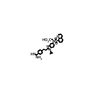 N=C(N)c1ccc(CCc2nc3cc(N(CC(=O)O)S(=O)(=O)c4cccc5cccnc45)ccc3n2C2CC2)cc1